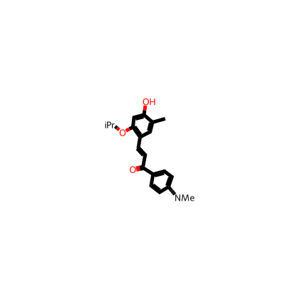 CNc1ccc(C(=O)C=Cc2cc(C)c(O)cc2OC(C)C)cc1